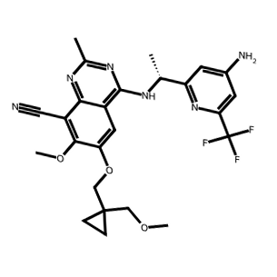 COCC1(COc2cc3c(N[C@H](C)c4cc(N)cc(C(F)(F)F)n4)nc(C)nc3c(C#N)c2OC)CC1